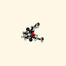 O=C(/C=C/c1c(-c2ccccc2N2CCCC(C(=O)O)C2)cc(Sc2cc(-c3ccccc3N3CCCC(C(=O)O)C3)c(/C=C/C(=O)NCCCN3CCCC3=O)c(C(F)(F)F)c2C(F)(F)F)c(C(F)(F)F)c1C(F)(F)F)NCCCN1CCCC1=O